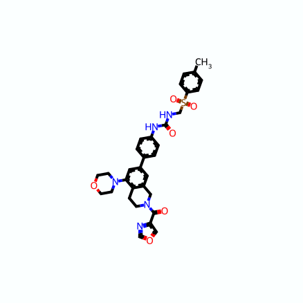 Cc1ccc(S(=O)(=O)CNC(=O)Nc2ccc(-c3cc4c(c(N5CCOCC5)c3)CCN(C(=O)c3cocn3)C4)cc2)cc1